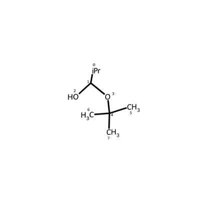 CC(C)C(O)OC(C)(C)C